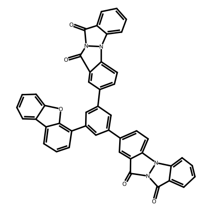 O=c1c2ccccc2n2c3ccc(-c4cc(-c5ccc6c(c5)c(=O)n5c(=O)c7ccccc7n65)cc(-c5cccc6c5oc5ccccc56)c4)cc3c(=O)n12